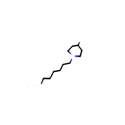 CCCCCCCCCCCCCCCCN1CCC(C(=O)OCC)CC1